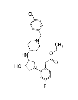 CCOC(=O)Cc1ccc(F)cc1N1CC(O)C(NC2CCN(Cc3ccc(Cl)cc3)CC2)C1